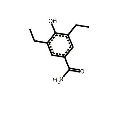 CCc1cc(C(N)=O)cc(CC)c1O